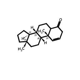 C[C@@]12CCC[C@H]1[C@@H]1CCC3C(=O)CC=C[C@]3(C)[C@@H]1CC2